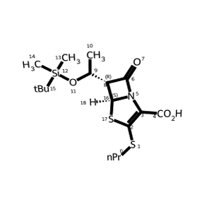 CCCSC1=C(C(=O)O)N2C(=O)[C@@H](C(C)O[Si](C)(C)C(C)(C)C)[C@@H]2S1